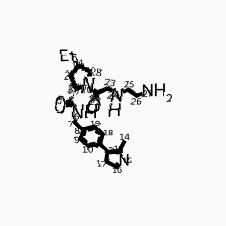 CC[C@@H]1C[C@@H](C(=O)NCc2ccc(C3=C(C)N=CC3)cc2)N(C(=O)CNCCN)C1